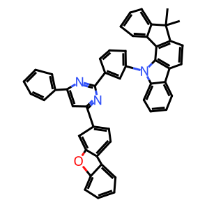 CC1(C)c2ccccc2-c2c1ccc1c3ccccc3n(-c3cccc(-c4nc(-c5ccccc5)cc(-c5ccc6c(c5)oc5ccccc56)n4)c3)c21